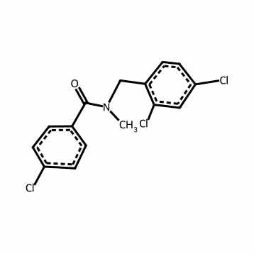 CN(Cc1ccc(Cl)cc1Cl)C(=O)c1ccc(Cl)cc1